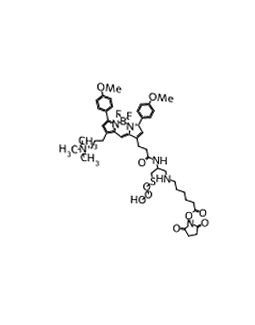 COc1ccc(C2=[N+]3C(=Cc4c(CCC[N+](C)(C)C)cc(-c5ccc(OC)cc5)n4[B-]3(F)F)C(CCC(=O)NC(CNCCCCCC(=O)ON3C(=O)CCC3=O)CSOOO)=C2)cc1